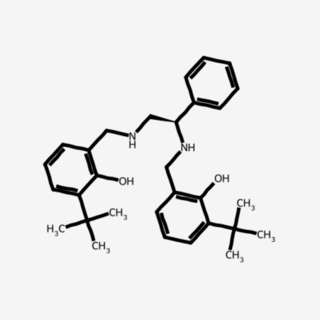 CC(C)(C)c1cccc(CNC[C@H](NCc2cccc(C(C)(C)C)c2O)c2ccccc2)c1O